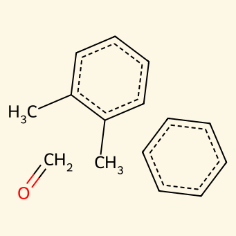 C=O.Cc1ccccc1C.c1ccccc1